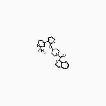 Cc1cc(-c2cccnc2OC2CCN(C(=O)c3nccc4ccccc34)CC2)ccn1